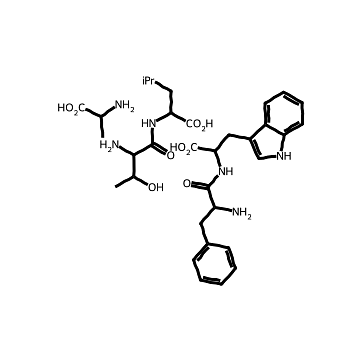 CC(C)CC(NC(=O)C(N)C(C)O)C(=O)O.CC(N)C(=O)O.NC(Cc1ccccc1)C(=O)NC(Cc1c[nH]c2ccccc12)C(=O)O